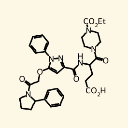 CCOC(=O)N1CCN(C(=O)C(CCC(=O)O)NC(=O)c2cc(OCC(=O)N3CCCC3c3ccccc3)n(-c3ccccc3)n2)CC1